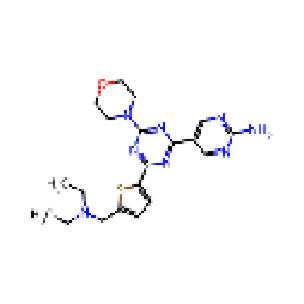 CCN(CC)Cc1ccc(-c2nc(-c3cnc(N)nc3)nc(N3CCOCC3)n2)s1